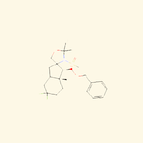 CC1(C)OCC2(C[C@@H]3CC(F)(F)CC[C@H]3[C@@H]2COCc2ccccc2)N1S(C)(=O)=O